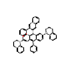 c1ccc(-c2cc3ccccc3cc2-c2c3ccc(N4CCCc5ccccc54)cc3c(-c3ccccc3)c3ccc(N4CCCc5ccccc54)cc23)cc1